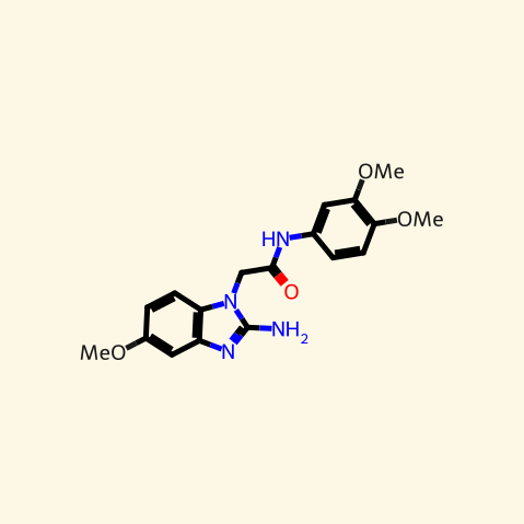 COc1ccc2c(c1)nc(N)n2CC(=O)Nc1ccc(OC)c(OC)c1